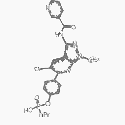 CCCCCCn1nc(NC(=O)c2cccnc2)c2cc(Cl)c(-c3ccc(OP(=O)(O)CCC)cc3)nc21